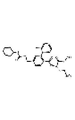 CSCC[C@H](NC(=O)c1ccc(CCC(=O)OC2CCCCC2)cc1-c1ccccc1C)C(=O)OC(C)(C)C